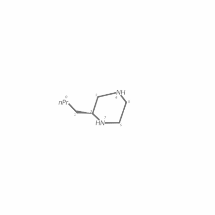 CCCC[C@H]1CNCCN1